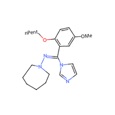 CCCCCOc1ccc(OC)cc1C(=NN1CCCCCC1)n1ccnc1